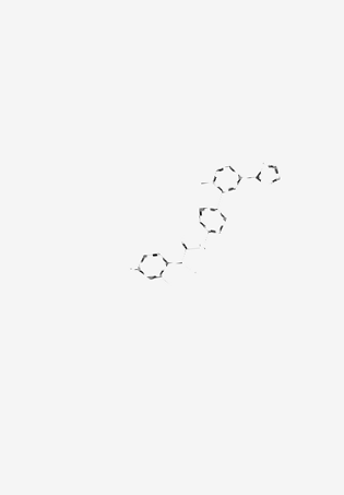 Cc1ccc(-c2ncco2)cc1-c1ccc(NC(=O)C(S)c2ccc(F)cc2F)cc1